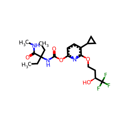 CCC(CC)(NC(=O)Oc1ccc(C2CC2)c(OCC[C@H](O)C(F)(F)F)n1)C(=O)NC